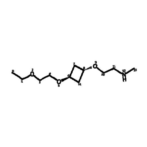 CCOCCO[C@H]1C[C@H](OCCNC)C1